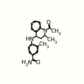 CC(=O)N1c2ccccc2C(Nc2ccc(C(N)=O)cc2C)CC1C